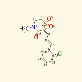 CN1CCS(=O)(=O)/C(=C/C=C/c2ccccc2Cl)C1=O